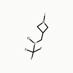 [O-][S+](CC1CN(I)C1)C(F)(F)F